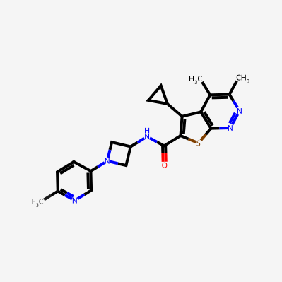 Cc1nnc2sc(C(=O)NC3CN(c4ccc(C(F)(F)F)nc4)C3)c(C3CC3)c2c1C